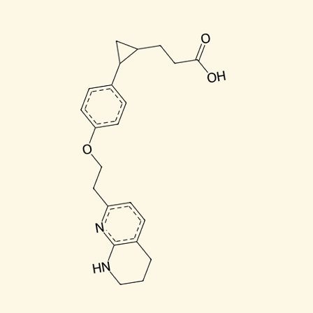 O=C(O)CCC1CC1c1ccc(OCCc2ccc3c(n2)NCCC3)cc1